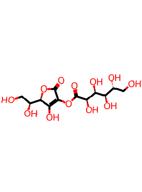 O=C1O[C@H]([C@@H](O)CO)C(O)=C1OC(=O)[C@H](O)[C@@H](O)[C@H](O)[C@H](O)CO